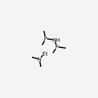 CCN(C)C.CP(C)NP(C)C